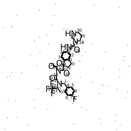 C[C@H](N(Cc1ccc(F)cc1)C1OC1N1C(=O)O[C@@]2(CCc3cc(NC(=O)N4CCCNC4)ccc32)C1=O)C(F)(F)F